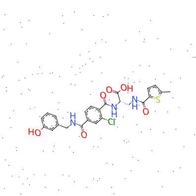 Cc1ccc(C(=O)NC[C@H](NC(=O)c2ccc(C(=O)NCc3cccc(O)c3)cc2Cl)C(=O)O)s1